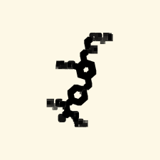 CCOC(=O)CNCc1ccc(CN2CCC(N(C)C(=O)OC(C)(C)C)CC2)cc1OC